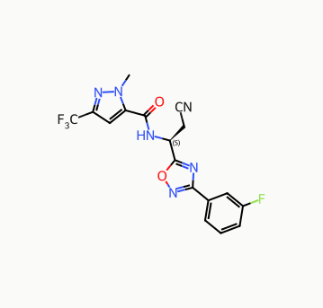 Cn1nc(C(F)(F)F)cc1C(=O)N[C@@H](CC#N)c1nc(-c2cccc(F)c2)no1